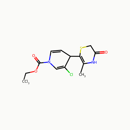 CC1=C(C2C=CN(C(=O)OCC(Cl)(Cl)Cl)C=C2Cl)SCC(=O)N1